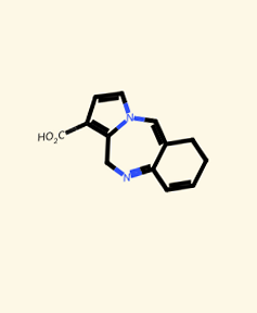 O=C(O)c1ccn2c1CN=C1C=CCCC1=C2